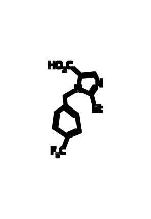 CCc1ncc(C(=O)O)n1Cc1ccc(C(F)(F)F)cc1